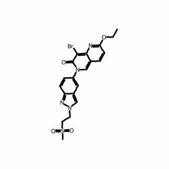 CCOc1ccc2cn(-c3ccc4nn(CCS(C)(=O)=O)cc4c3)c(=O)c(Br)c2n1